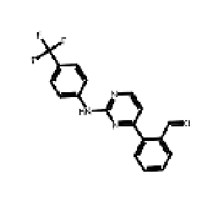 O=Cc1ccccc1-c1ccnc(Nc2ccc(C(F)(F)F)cc2)n1